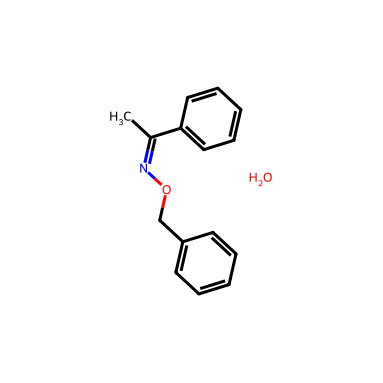 CC(=NOCc1ccccc1)c1ccccc1.O